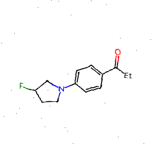 CCC(=O)c1ccc(N2CCC(F)C2)cc1